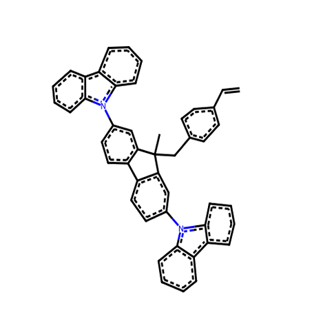 C=Cc1ccc(CC2(C)c3cc(-n4c5ccccc5c5ccccc54)ccc3-c3ccc(-n4c5ccccc5c5ccccc54)cc32)cc1